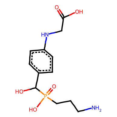 NCCCP(=O)(O)C(O)c1ccc(NCC(=O)O)cc1